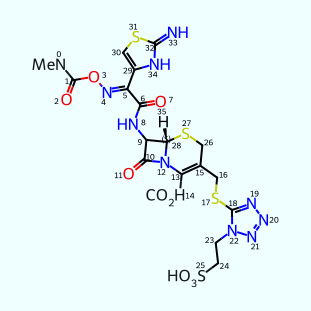 CNC(=O)ON=C(C(=O)NC1C(=O)N2C(C(=O)O)=C(CSc3nnnn3CCS(=O)(=O)O)CS[C@@H]12)c1csc(=N)[nH]1